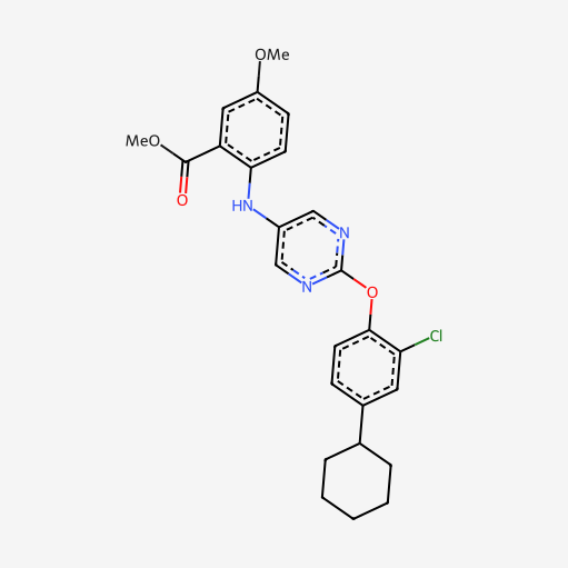 COC(=O)c1cc(OC)ccc1Nc1cnc(Oc2ccc(C3CCCCC3)cc2Cl)nc1